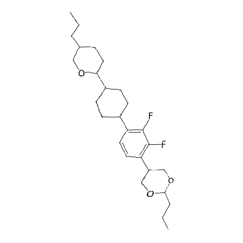 CCCC1CCC(C2CCC(c3ccc(C4COC(CCC)OC4)c(F)c3F)CC2)OC1